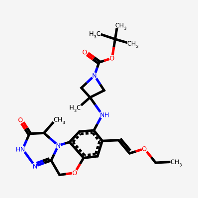 CCOC=Cc1cc2c(cc1NC1(C)CN(C(=O)OC(C)(C)C)C1)N1C(=NNC(=O)C1C)CO2